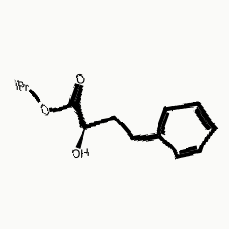 CC(C)OC(=O)[C@H](O)CCc1ccccc1